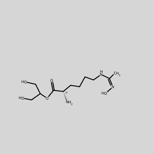 CC(=NO)NCCCC[C@H](N)C(=O)OC(CO)CO